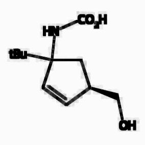 CC(C)(C)C1(NC(=O)O)C=C[C@H](CO)C1